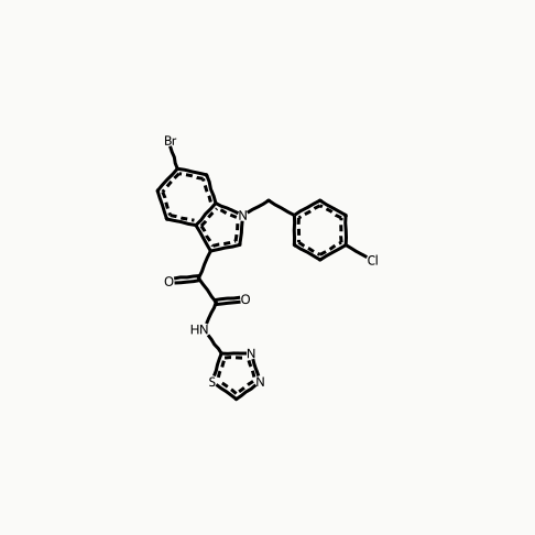 O=C(Nc1nncs1)C(=O)c1cn(Cc2ccc(Cl)cc2)c2cc(Br)ccc12